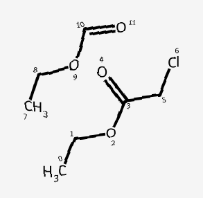 CCOC(=O)CCl.CCOC=O